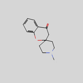 CN1CCC2(CC1)CC(=O)c1ccccc1O2